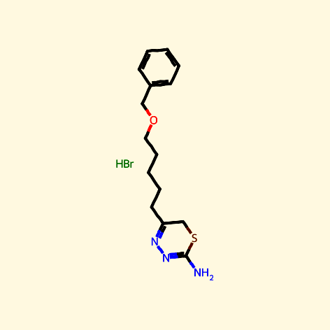 Br.NC1=NN=C(CCCCCOCc2ccccc2)CS1